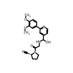 COc1ccc(-c2cc(C(O)NCC(=O)N3CCC[C@H]3C#N)ccn2)cc1OC